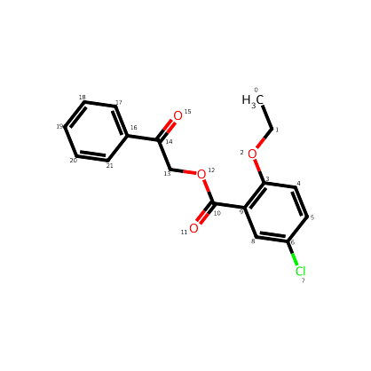 CCOc1ccc(Cl)cc1C(=O)OCC(=O)c1ccccc1